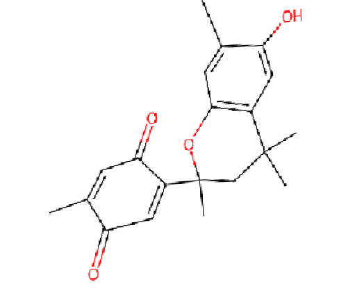 CC1=CC(=O)C(C2(C)CC(C)(C)c3cc(O)c(C)cc3O2)=CC1=O